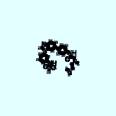 CN(C)CCN(C)CC(=O)Nc1ccc(-c2ccc3ncn(-c4cccc(NS(C)(=O)=O)c4)c3c2)cc1